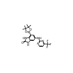 CC1(C)OB(c2cc(Nc3nccc(C(F)(F)F)n3)cc3[nH]c(=O)[nH]c23)OC1(C)C